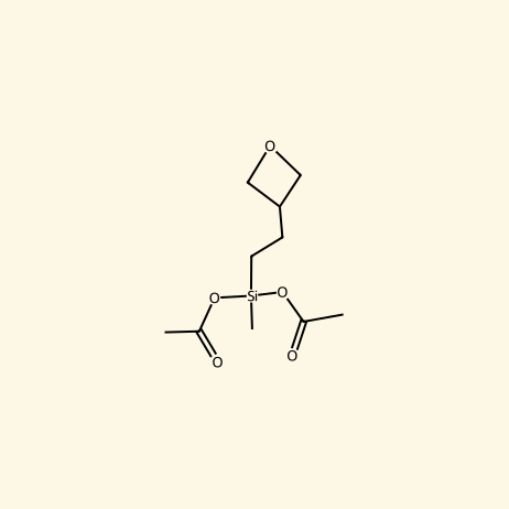 CC(=O)O[Si](C)(CCC1COC1)OC(C)=O